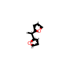 C[C](c1ccco1)c1ccco1